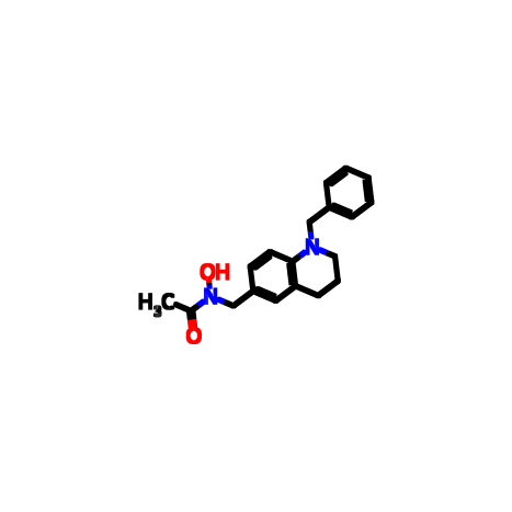 CC(=O)N(O)Cc1ccc2c(c1)CCCN2Cc1ccccc1